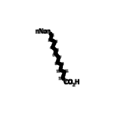 CCCCCCCCCCCCCC=CCCCCCCC(=O)O